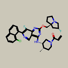 C=CC(=O)N1CC[C@H](C)[C@H](Nc2nc(OC[C@@]34CCCN3C[C@H](F)C4)nc3c(F)c(-c4cccc5cccc(Cl)c45)ncc23)C1